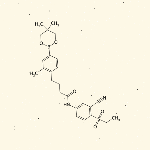 CCS(=O)(=O)c1ccc(NC(=O)CCCc2ccc(B3OCC(C)(C)CO3)cc2C)cc1C#N